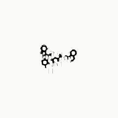 Cc1ccccc1Nc1ncc(C(=O)NCc2nccc3ccccc23)cc1NC(=O)c1csc2ccccc12